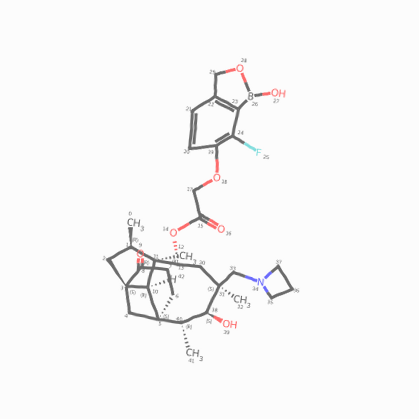 C[C@@H]1C[C@@]23C[C@@]4(CCC2=O)[C@@H]3[C@]1(C)[C@H](OC(=O)COc1ccc2c(c1F)B(O)OC2)C[C@@](C)(CN1CCC1)[C@@H](O)[C@@H]4C